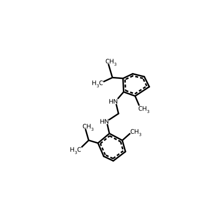 Cc1cccc(C(C)C)c1NCNc1c(C)cccc1C(C)C